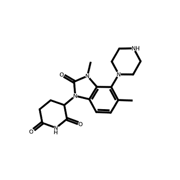 Cc1ccc2c(c1N1CCNCC1)n(C)c(=O)n2C1CCC(=O)NC1=O